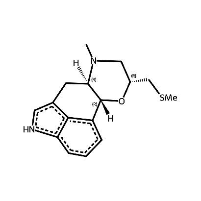 CSC[C@H]1CN(C)[C@@H]2Cc3c[nH]c4cccc(c34)[C@H]2O1